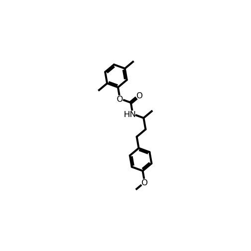 COc1ccc(CCC(C)NC(=O)Oc2cc(C)ccc2C)cc1